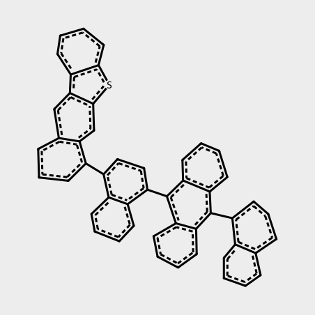 c1cc(-c2ccc(-c3c4ccccc4c(-c4cccc5ccccc45)c4ccccc34)c3ccccc23)c2cc3sc4ccccc4c3cc2c1